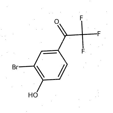 O=C(c1ccc(O)c(Br)c1)C(F)(F)F